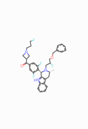 C[C@@H]1Cc2c([nH]c3ccccc23)[C@@H](c2c(F)cc(C(=O)C3CN(CCCF)C3)cc2F)N1CC(F)COCc1ccccc1